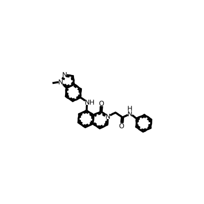 Cn1ncc2cc(Nc3cccc4ccn(CC(=O)Nc5ccccc5)c(=O)c34)ccc21